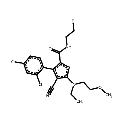 CCN(CCOC)c1sc(C(=O)NCCF)c(-c2ccc(Cl)cc2Cl)c1C#N